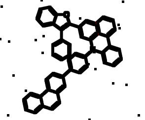 c1ccc(-c2ccccc2N(c2ccc(-c3ccc4c(ccc5ccccc54)c3)cc2)c2cccc(-c3oc4ccccc4c3-c3ccccc3)c2)cc1